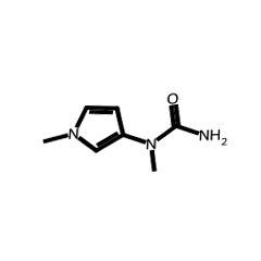 CN(C(N)=O)c1ccn(C)c1